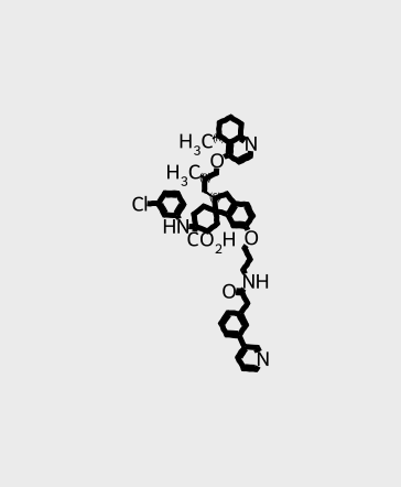 C[C@@H](COc1ccnc2c1[C@H](C)CCC2)C[C@H]1Cc2ccc(OCCCNC(=O)Cc3cccc(-c4cccnc4)c3)cc2C12CCC(Nc1cccc(Cl)c1)(C(=O)O)CC2